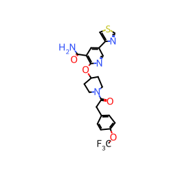 NC(=O)c1cc(-c2cscn2)cnc1OC1CCN(C(=O)Cc2ccc(OC(F)(F)F)cc2)CC1